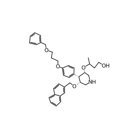 CC(CCO)O[C@@H]1CNC[C@H](OCc2ccc3ccccc3c2)[C@@H]1c1ccc(OCCCOCc2ccccc2)cc1